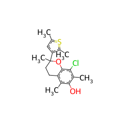 Cc1cc(C2(C)CCc3c(C)c(O)c(C)c(Cl)c3O2)c(C)s1